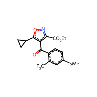 CCOC(=O)c1noc(C2CC2)c1C(=O)c1ccc(SC)cc1C(F)(F)F